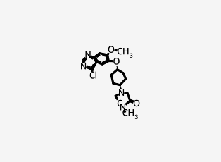 COc1cc2ncnc(Cl)c2cc1O[C@H]1CC[C@H](N2CCN(C)C(=O)C2)CC1